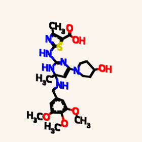 COc1cc(CNC2(C)C=C(N3CCC(O)CC3)N=C(Nc3nc(C)c(C(=O)O)s3)N2)cc(OC)c1OC